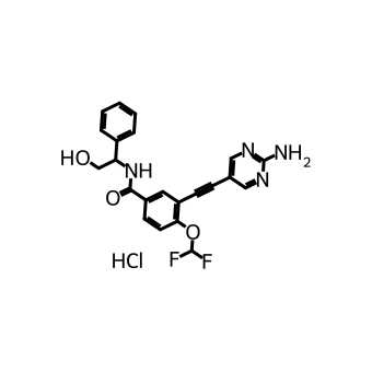 Cl.Nc1ncc(C#Cc2cc(C(=O)NC(CO)c3ccccc3)ccc2OC(F)F)cn1